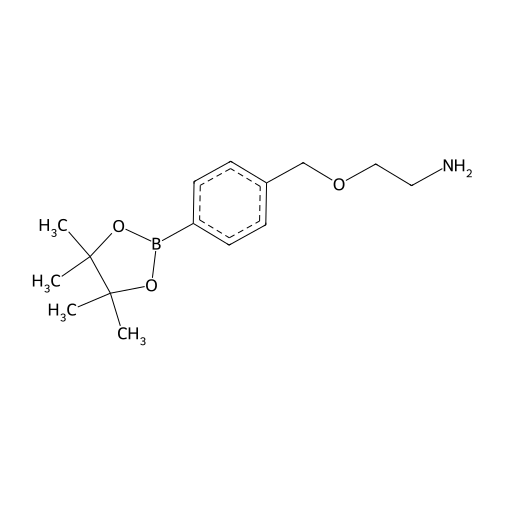 CC1(C)OB(c2ccc(COCCN)cc2)OC1(C)C